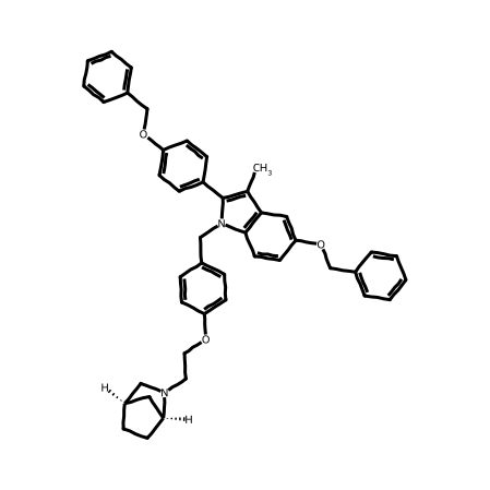 Cc1c(-c2ccc(OCc3ccccc3)cc2)n(Cc2ccc(OCCN3C[C@@H]4CC[C@H]3C4)cc2)c2ccc(OCc3ccccc3)cc12